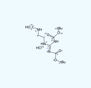 CC(C)(C)OC(=O)/N=C(/NCCNC(=O)O)NC(=O)OC(C)(C)C.Cl